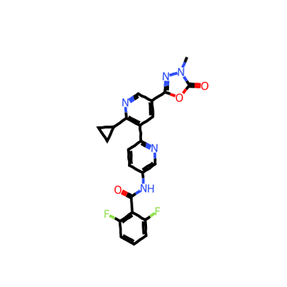 Cn1nc(-c2cnc(C3CC3)c(-c3ccc(NC(=O)c4c(F)cccc4F)cn3)c2)oc1=O